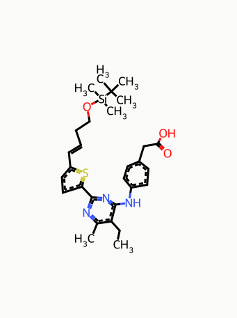 CCc1c(C)nc(-c2ccc(C=CCCO[Si](C)(C)C(C)(C)C)s2)nc1Nc1ccc(CC(=O)O)cc1